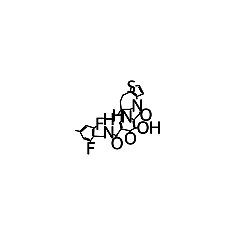 Cc1cc(F)c(CNC(=O)c2cn3c(c(O)c2=O)C(=O)N2C[C@H]3CCc3sccc32)c(F)c1